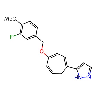 COc1ccc(COC2=CC=C(c3ccn[nH]3)CC=C2)cc1F